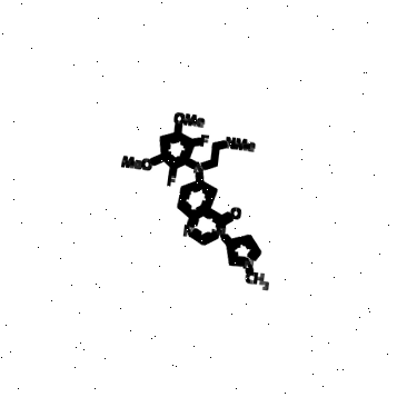 CNCCN(c1ccc2ncn(-c3ccn(C)c3)c(=O)c2c1)c1c(F)c(OC)cc(OC)c1F